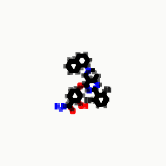 CCc1cccc(CC)c1-c1nc(C)c(CN(C)[C@H]2CCCc3ccccc32)c(Oc2ccc(C(N)=O)c(O)c2)n1